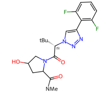 CNC(=O)C1CC(O)CN1C(=O)[C@@H](n1cc(-c2c(F)cccc2F)nn1)C(C)(C)C